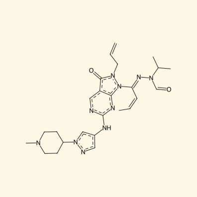 C=CCn1c(=O)c2cnc(Nc3cnn(C4CCN(C)CC4)c3)nc2n1C(/C=C\C)=N/N(C=O)C(C)C